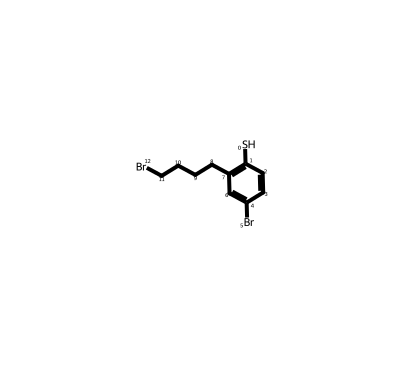 Sc1ccc(Br)cc1CCCCBr